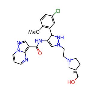 COc1ccc(Cl)cc1C1NN(CCN2CC[C@@H](CO)C2)C=C1NC(=O)c1cnn2cccnc12